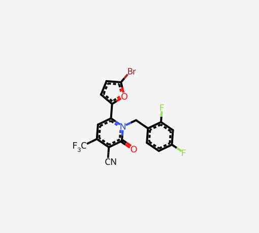 N#Cc1c(C(F)(F)F)cc(-c2ccc(Br)o2)n(Cc2ccc(F)cc2F)c1=O